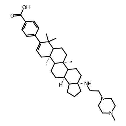 CN1CCN(CCN[C@]23CCCC2[C@H]2CCC4[C@@](C)(CCC5C(C)(C)C(c6ccc(C(=O)O)cc6)=CC[C@@]54C)C2CC3)CC1